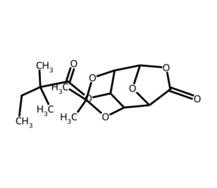 CCC(C)(C)C(=O)OC1C2OC(C)(C)OC1C1OC2OC1=O